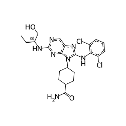 CC[C@@H](CO)Nc1ncc2nc(Nc3c(Cl)cccc3Cl)n(C3CCC(C(N)=O)CC3)c2n1